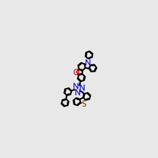 C1=CC2C(c3ccccc3N2c2ccccc2)c2c1oc1cc(-c3nc(-c4cccc(-c5ccccc5)c4)nc(-c4cccc5sc6ccccc6c45)n3)ccc21